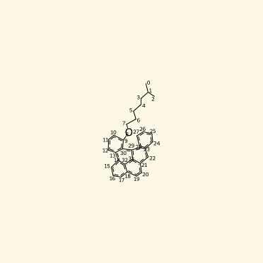 CC(C)CCCCCOc1cccc2c3cccc4ccc5cc6ccccc6c(c12)c5c43